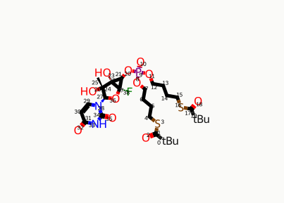 CC(C)(C)C(=O)SCCCCOP(=O)(OCCCCSC(=O)C(C)(C)C)OC1[C@]2(O)[C@@](C)(O)[C@H](n3ccc(=O)[nH]c3=O)O[C@]12F